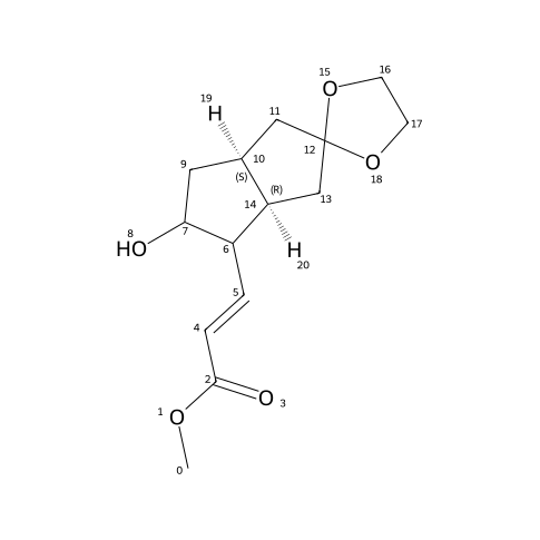 COC(=O)C=CC1C(O)C[C@H]2CC3(C[C@@H]12)OCCO3